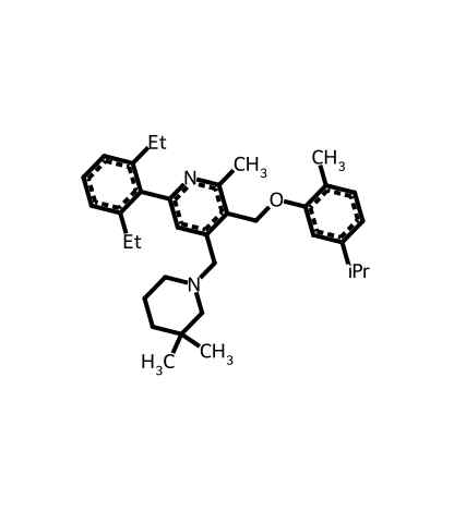 CCc1cccc(CC)c1-c1cc(CN2CCCC(C)(C)C2)c(COc2cc(C(C)C)ccc2C)c(C)n1